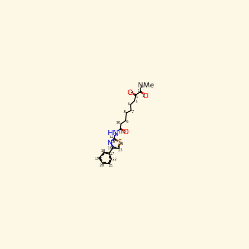 CNC(=O)C(=O)CCCCCCC(=O)Nc1nc(-c2ccccc2)cs1